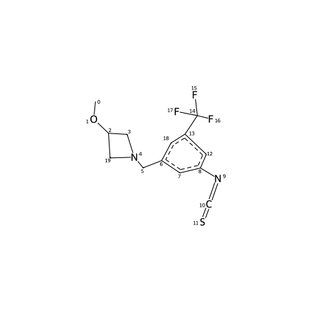 COC1CN(Cc2cc(N=C=S)cc(C(F)(F)F)c2)C1